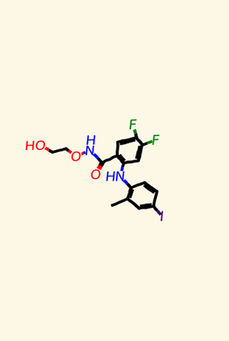 Cc1cc(I)ccc1Nc1cc(F)c(F)cc1C(=O)NOCCO